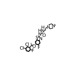 C[C@@H](Oc1cc2sc(NC(=O)NCCN3CCN(C)CC3)nc2cc1F)c1c(F)ccc(Cl)c1Cl